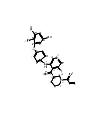 C=CC(=O)N1CCC[C@@H](C(=N)c2c(F)cncc2Nc2ccc(Oc3cc(F)cc(F)c3F)cc2)C1